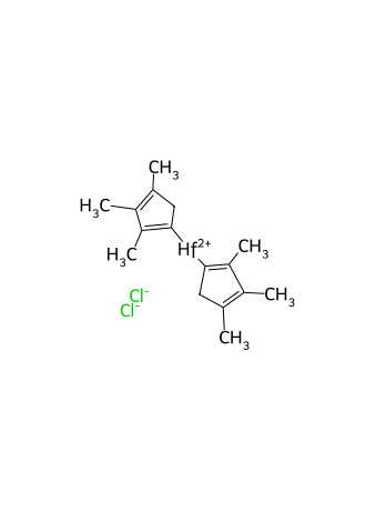 CC1=C(C)C(C)=[C]([Hf+2][C]2=C(C)C(C)=C(C)C2)C1.[Cl-].[Cl-]